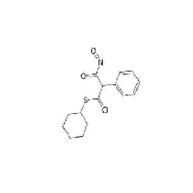 O=NC(=O)C(C(=O)SC1CCCCC1)c1ccccc1